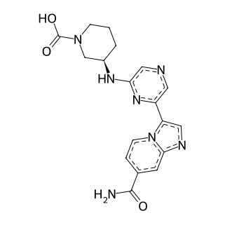 NC(=O)c1ccn2c(-c3cncc(N[C@@H]4CCCN(C(=O)O)C4)n3)cnc2c1